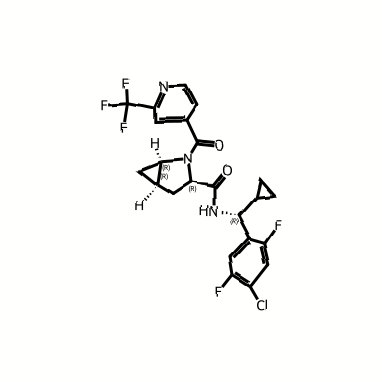 O=C(N[C@@H](c1cc(F)c(Cl)cc1F)C1CC1)[C@H]1C[C@H]2C[C@H]2N1C(=O)c1ccnc(C(F)(F)F)c1